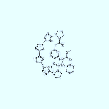 COC(=O)N[C@@H](C(=O)N1CCC[C@H]1c1ncc(-c2cnc(-c3ncc(-c4cnc([C@@H]5CCCN5C(=O)Cc5ccccc5)[nH]4)s3)s2)[nH]1)c1ccccc1